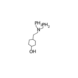 OC1CCC(CCN(CP)CP)CC1